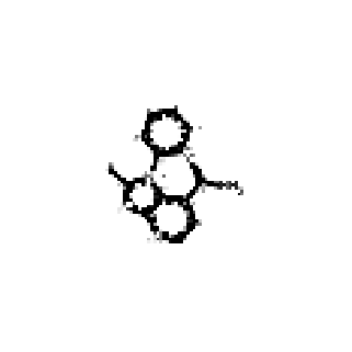 Cc1nc2nccc(C(N)=O)c2n1-c1ccccc1